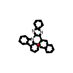 c1ccc2cc(-c3nc4ccccc4nc3-n3c4ccccc4c4ccccc43)ccc2c1